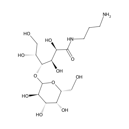 NCCCNC(=O)[C@H](O)[C@@H](O)[C@H](OC1O[C@H](CO)[C@H](O)[C@H](O)[C@H]1O)[C@H](O)CO